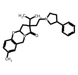 Cc1ccc2c(c1)CN1C(=O)C(CCN3CCC(c4ccccc4)C3)(C(C)C)CC1O2